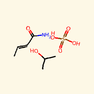 CC(C)O.CC=CC(N)=O.O=S(=O)(O)O